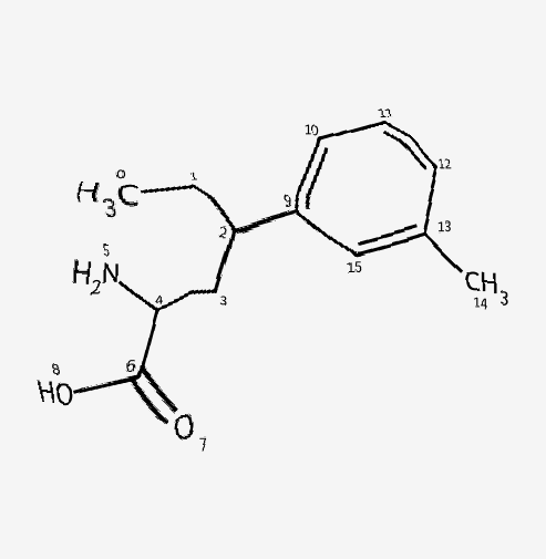 CCC(CC(N)C(=O)O)c1cccc(C)c1